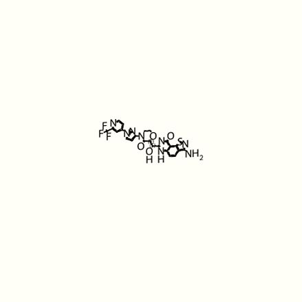 Nc1nsc2c1ccc1[nH]c([C@H](O)[C@H]3OCCN(c4ccn(-c5ccnc(C(F)(F)F)c5)n4)C3=O)nc(=O)c12